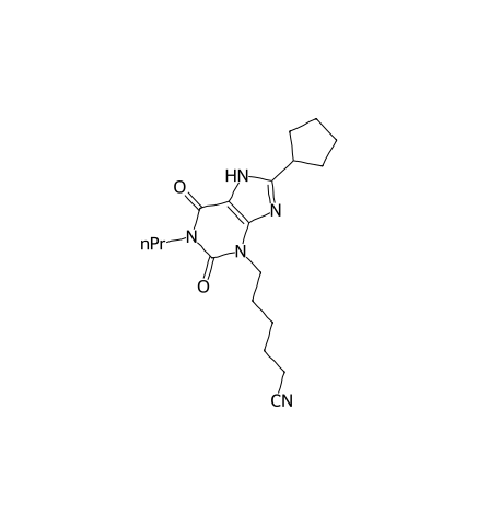 CCCn1c(=O)c2[nH]c(C3CCCC3)nc2n(CCCCCC#N)c1=O